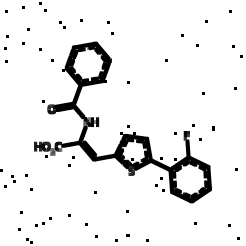 O=C(O)C(=Cc1ccc(-c2ccccc2F)s1)NC(=O)c1ccccc1